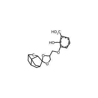 O=C(O)c1cccc(OCC2COC3(O2)C2CC4CC(C2)CC3C4)c1O